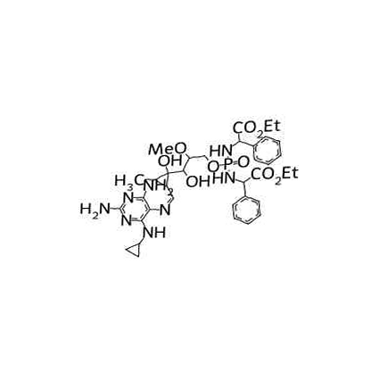 CCOC(=O)C(NP(=O)(NC(C(=O)OCC)c1ccccc1)OCC(OC)C(O)C1(O)C(C)C1/C=N\c1c(N)nc(N)nc1NC1CC1)c1ccccc1